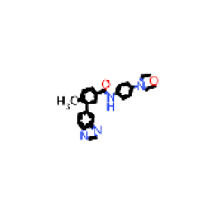 Cc1ccc(C(=O)Nc2ccc(N3CCOCC3)cc2)cc1-c1ccc2nccnc2c1